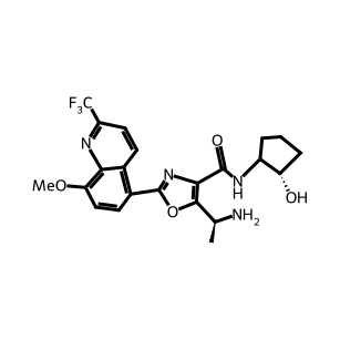 COc1ccc(-c2nc(C(=O)NC3CCC[C@@H]3O)c([C@H](C)N)o2)c2ccc(C(F)(F)F)nc12